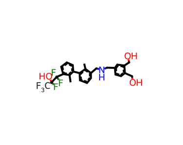 Cc1c(CNCc2ccc(CO)c(CO)c2)cccc1-c1cccc(C(F)(F)C(O)(F)C(F)(F)F)c1C